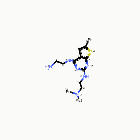 CCc1cc2c(NCCN)nc(NCCN(CC)CC)nc2s1